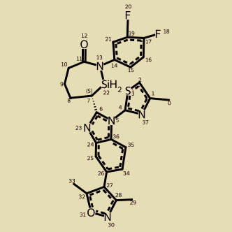 Cc1csc(-n2c([C@@H]3CCCC(=O)N(c4ccc(F)c(F)c4)[SiH2]3)nc3cc(-c4c(C)noc4C)ccc32)n1